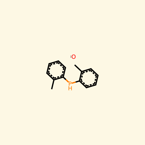 Cc1ccccc1Pc1ccccc1C.[O]